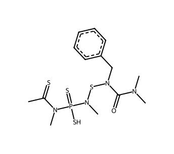 CC(=S)N(C)P(=S)(S)N(C)SN(Cc1ccccc1)C(=O)N(C)C